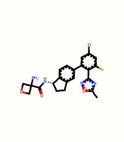 Cc1nc(-c2c(F)cc(Cl)cc2-c2ccc3c(c2)CC[C@@H]3NC(=O)C2(N)COC2)no1